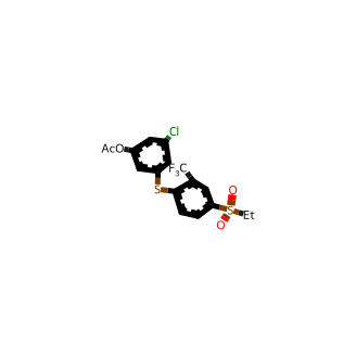 CCS(=O)(=O)c1ccc(Sc2cc(Cl)cc(OC(C)=O)c2)c(C(F)(F)F)c1